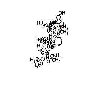 C=C(OC)C(=O)Nc1cc(OC)c(OC)cc1C(=O)O[C@H]1C[C@H](O[C@@H]2C(=O)C(NC(=O)OC)=C3/C(=C\CSSSC)[C@]2(O)C#C/C=C\C#C[C@@H]3O[C@@H]2O[C@H](C)[C@@](SC)(C(=O)c3nccc4c3[nH]c3ccc(O)cc34)[C@H](O)[C@H]2O[C@H]2C[C@H](OC)[C@@H](NC(C)C)CO2)O[C@@H](C)[C@H]1O